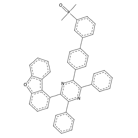 CP(C)(=O)c1cccc(-c2ccc(-c3nc(-c4cccc5oc6ccccc6c45)c(-c4ccccc4)nc3-c3ccccc3)cc2)c1